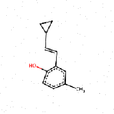 Cc1ccc(O)c(/C=C/C2CC2)c1